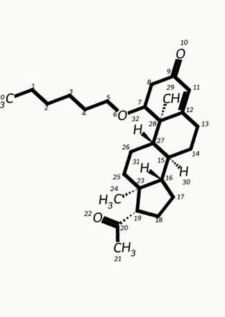 CCCCCCOC1CC(=O)C=C2CC[C@H]3[C@@H]4CC[C@H](C(C)=O)[C@@]4(C)CC[C@@H]3[C@]21C